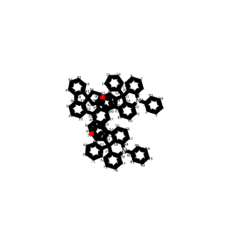 c1ccc(N2c3ccccc3C(c3ccccc3)(c3ccccc3)c3c(-c4cccc5c(-c6cccc7c6C6(CCCC6)c6ccccc6-7)c6cccc(-c7cccc8c7C(c7ccccc7)(c7ccccc7)c7ccccc7N8c7ccccc7)c6cc45)cccc32)cc1